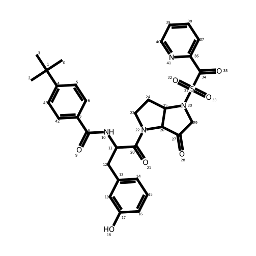 CC(C)(C)c1ccc(C(=O)NC(Cc2cccc(O)c2)C(=O)N2CCC3C2C(=O)CN3S(=O)(=O)C(=O)c2ccccn2)cc1